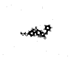 COCOc1ccc([C@]2(N(C)C)CC[C@@]3(CC2)CN(Cc2ccccc2)C(=O)N3)cc1